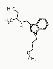 CCC(C)NCc1cn(CCCOC)c2ccccc12